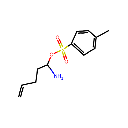 C=CCCC(N)OS(=O)(=O)c1ccc(C)cc1